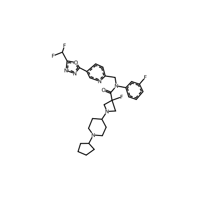 O=C(N(Cc1ccc(-c2nnc(C(F)F)o2)cn1)c1cccc(F)c1)C1(F)CN(C2CCN(C3CCCC3)CC2)C1